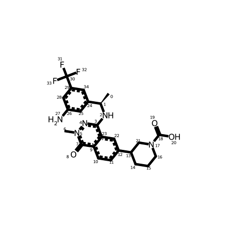 C[C@@H](Nc1nn(C)c(=O)c2ccc(C3CCCN(C(=O)O)C3)cc12)c1cc(N)cc(C(F)(F)F)c1